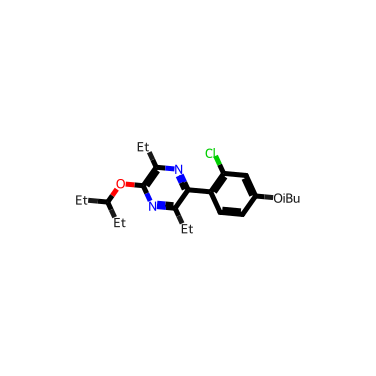 CCc1nc(-c2ccc(OCC(C)C)cc2Cl)c(CC)nc1OC(CC)CC